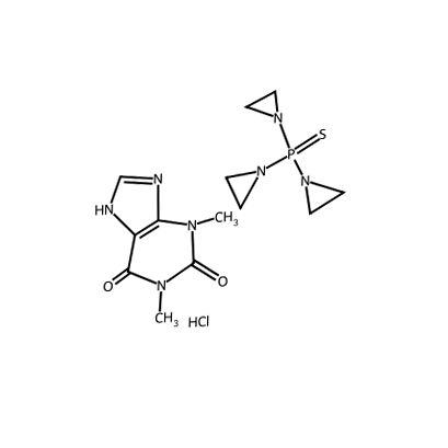 Cl.Cn1c(=O)c2[nH]cnc2n(C)c1=O.S=P(N1CC1)(N1CC1)N1CC1